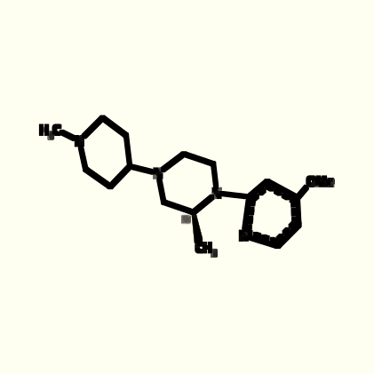 COc1ccnc(N2CCN(C3CCN(C)CC3)C[C@@H]2C)c1